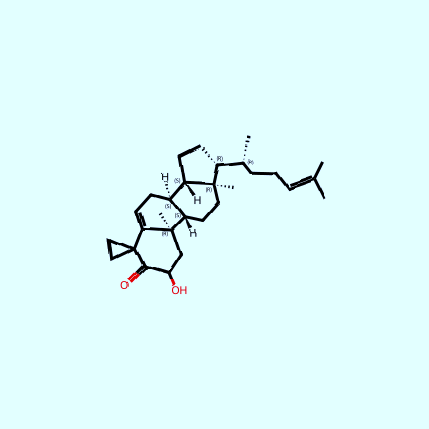 CC(C)=CCC[C@@H](C)[C@H]1CC[C@H]2[C@@H]3CC=C4C5(CC5)C(=O)C(O)C[C@]4(C)[C@H]3CC[C@]12C